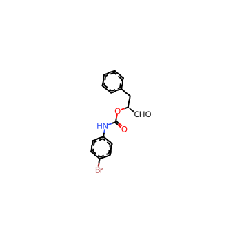 O=[C][C@H](Cc1ccccc1)OC(=O)Nc1ccc(Br)cc1